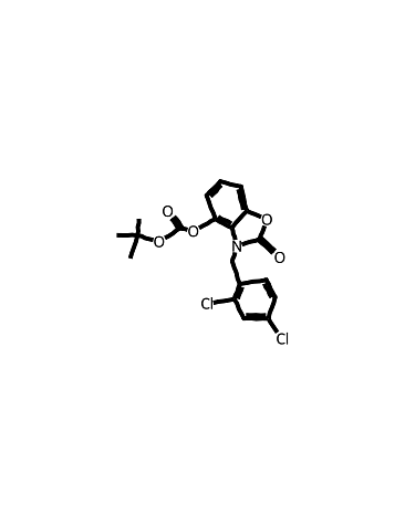 CC(C)(C)OC(=O)Oc1cccc2oc(=O)n(Cc3ccc(Cl)cc3Cl)c12